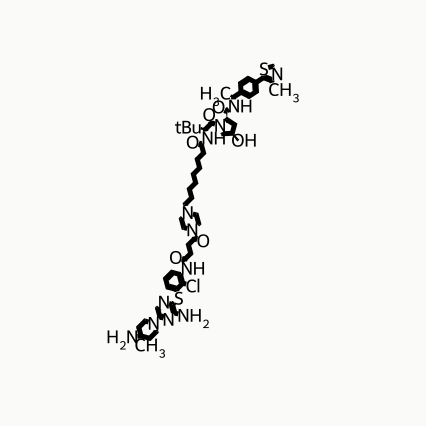 Cc1ncsc1-c1ccc([C@H](C)NC(=O)[C@@H]2C[C@@H](O)CN2C(=O)[C@@H](NC(=O)CCCCCCCCN2CCN(C(=O)CCC(=O)Nc3cccc(Sc4ncc(N5CCC(C)(N)CC5)nc4N)c3Cl)CC2)C(C)(C)C)cc1